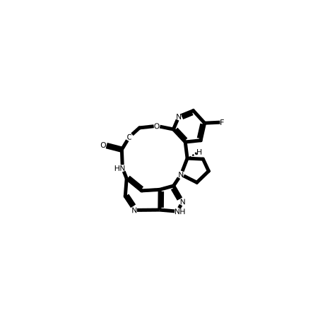 O=C1CCOc2ncc(F)cc2[C@H]2CCCN2c2n[nH]c3ncc(cc23)N1